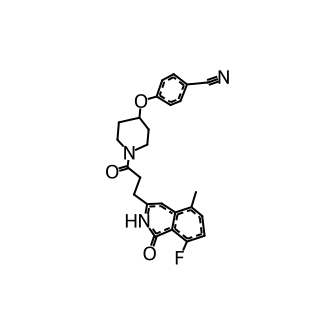 Cc1ccc(F)c2c(=O)[nH]c(CCC(=O)N3CCC(Oc4ccc(C#N)cc4)CC3)cc12